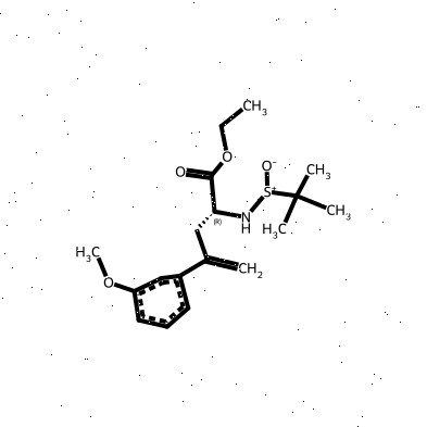 C=C(C[C@@H](N[S+]([O-])C(C)(C)C)C(=O)OCC)c1cccc(OC)c1